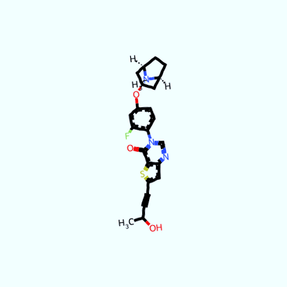 CC(O)C#Cc1cc2ncn(-c3ccc(O[C@H]4C[C@H]5CC[C@@H](C4)N5C)cc3F)c(=O)c2s1